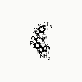 Nc1nc2cc(F)c(C(=O)N(C3CC3)[C@H]3COc4cc(C(F)(F)F)ccc43)cc2c2c1COC2